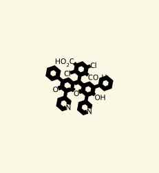 O=C(O)c1cc(Cl)c(C(=O)O)c(-c2c3cc(-c4ccccc4)c(=O)c(-c4cccnc4)c-3oc3c(-c4cccnc4)c(O)c(-c4ccccc4)cc23)c1Cl